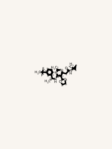 Cc1nc(CC(=O)NC2(C)CC2)c(C2OCCO2)c(N[C@H](C)c2cccc(C(C)(F)F)c2)n1